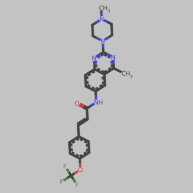 Cc1nc(N2CCN(C)CC2)nc2ccc(NC(=O)C=Cc3ccc(OC(F)(F)F)cc3)cc12